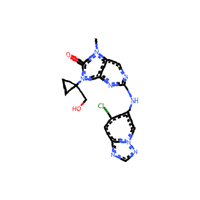 Cn1c(=O)n(C2(CO)CC2)c2nc(Nc3cn4ncnc4cc3Cl)ncc21